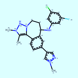 CC1=C2c3ccc(-c4cnn(C)c4)cc3C(Nc3cc(F)cc(Cl)c3)CCN2NN1C